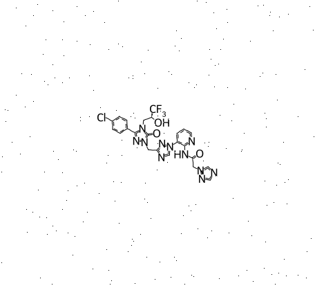 O=C(Cn1cncn1)Nc1ncccc1-n1cnc(Cn2nc(-c3ccc(Cl)cc3)n(C[C@H](O)C(F)(F)F)c2=O)n1